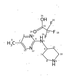 Cc1cnc(NC2CCNCC2)nc1.O=C(O)C(F)(F)F